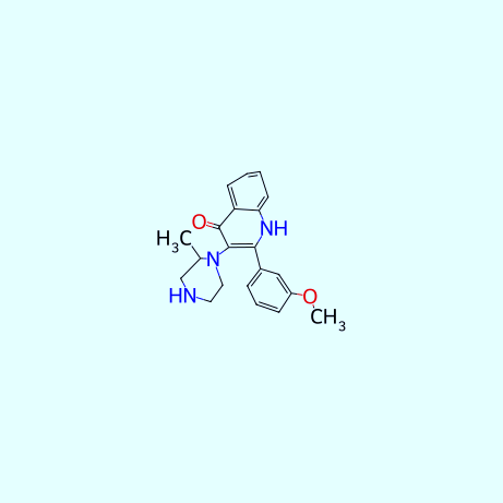 COc1cccc(-c2[nH]c3ccccc3c(=O)c2N2CCNCC2C)c1